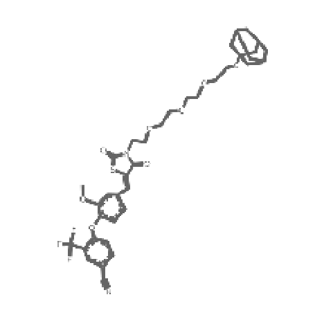 COc1cc(/C=C2\SC(=O)N(CCOCCOCCOCCOC34CC5CC(CC(C5)C3)C4)C2=O)ccc1Oc1ccc(C#N)cc1C(F)(F)F